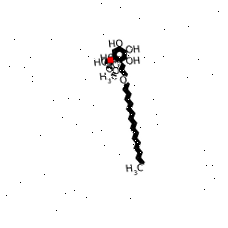 CCCCCCCCCCCCCCCCCCOCC(C[C@@]1(OP(=O)(O)O)[C@H](O)C[C@@H](O)[C@H](O)[C@H]1O)OC